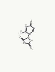 O=c1ccn(-n2oc(=O)[nH]c2=O)c(O)n1